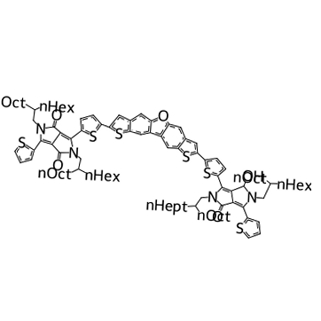 CCCCCCCCC(CCCCCC)CN1C(=O)C2=C(c3ccc(-c4cc5cc6oc7cc8cc(-c9ccc(C%10=C%11C(=C(c%12cccs%12)N(CC(CCCCCC)CCCCCCCC)C%11O)C(=O)N%10CC(CCCCCCC)CCCCCCCC)s9)sc8cc7c6cc5s4)s3)N(CC(CCCCCC)CCCCCCCC)C(=O)C2=C1c1cccs1